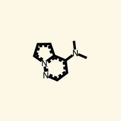 CN(C)c1ccnn2cccc12